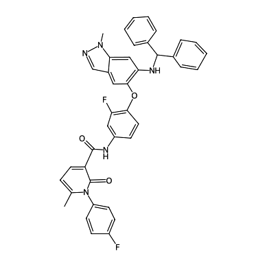 Cc1ccc(C(=O)Nc2ccc(Oc3cc4cnn(C)c4cc3NC(c3ccccc3)c3ccccc3)c(F)c2)c(=O)n1-c1ccc(F)cc1